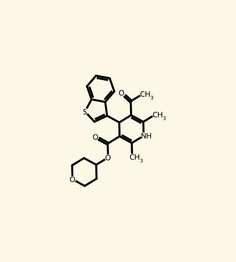 CC(=O)C1=C(C)NC(C)=C(C(=O)OC2CCOCC2)C1c1csc2ccccc12